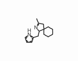 CC1=NC(Cc2ccc[nH]2)C2(CCCCC2)C1